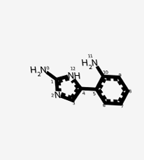 Nc1ncc(-c2ccccc2N)[nH]1